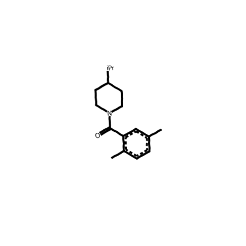 Cc1ccc(C)c(C(=O)N2CCC(C(C)C)CC2)c1